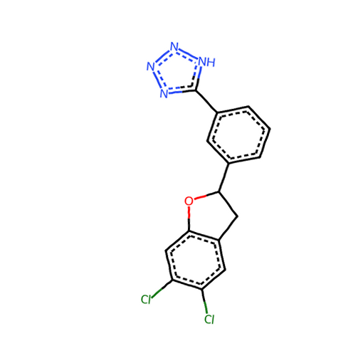 Clc1cc2c(cc1Cl)OC(c1cccc(-c3nnn[nH]3)c1)C2